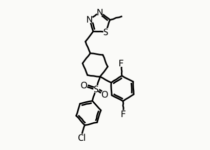 Cc1nnc(CC2CCC(c3cc(F)ccc3F)(S(=O)(=O)c3ccc(Cl)cc3)CC2)s1